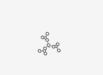 c1ccc(-n2c3ccccc3c3cc(-c4cc(-c5ccc6c(c5)c5ccccc5n6-c5ccccc5)nc(-c5ccc6c(c5)c5ccccc5n6-c5ccccc5)c4)ccc32)cc1